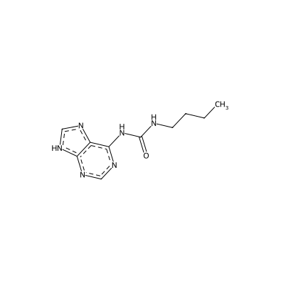 CCCCNC(=O)Nc1ncnc2[nH]cnc12